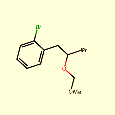 COCOC(Cc1ccccc1Br)C(C)C